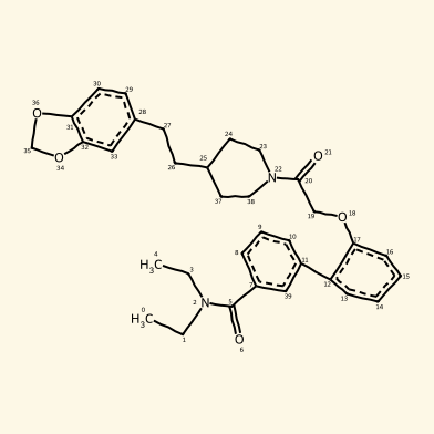 CCN(CC)C(=O)c1cccc(-c2ccccc2OCC(=O)N2CCC(CCc3ccc4c(c3)OCO4)CC2)c1